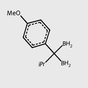 BC(B)(c1ccc(OC)cc1)C(C)C